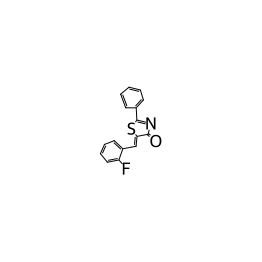 O=C1N=C(c2ccccc2)SC1=Cc1ccccc1F